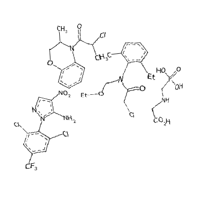 CC1COc2ccccc2N1C(=O)C(Cl)Cl.CCOCN(C(=O)CCl)c1c(C)cccc1CC.Nc1c([N+](=O)[O-])cnn1-c1c(Cl)cc(C(F)(F)F)cc1Cl.O=C(O)CNCP(=O)(O)O